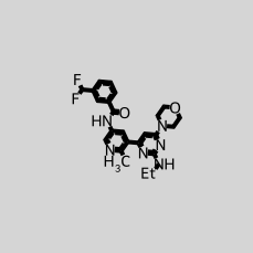 CCNc1nc(-c2cc(NC(=O)c3cccc(C(F)F)c3)cnc2C)cc(N2CCOCC2)n1